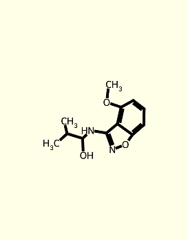 COc1cccc2onc(NC(O)C(C)C)c12